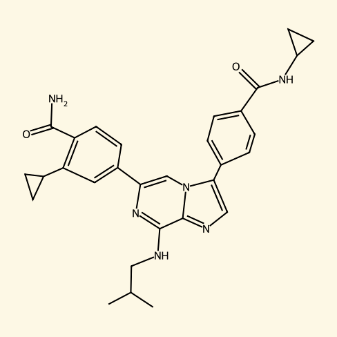 CC(C)CNc1nc(-c2ccc(C(N)=O)c(C3CC3)c2)cn2c(-c3ccc(C(=O)NC4CC4)cc3)cnc12